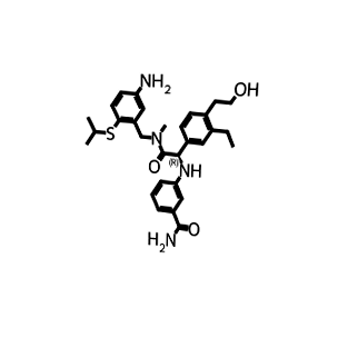 CCc1cc([C@@H](Nc2cccc(C(N)=O)c2)C(=O)N(C)Cc2cc(N)ccc2SC(C)C)ccc1CCO